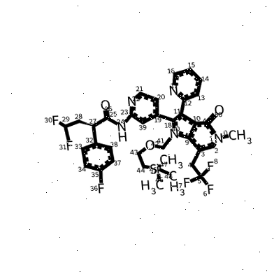 Cn1cc(CC(F)(F)F)c2c(c(-c3ccccn3)c(-c3ccnc(NC(=O)[C@H](CC(F)F)c4ccc(F)cc4)c3)n2COCC[Si](C)(C)C)c1=O